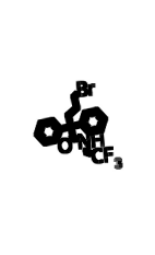 O=C(NCC(F)(F)F)C(CCCBr)(c1ccccc1)c1ccccc1